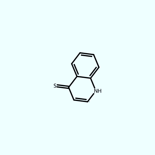 S=c1c[c][nH]c2ccccc12